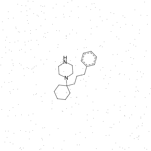 c1ccc(CCCC2(N3CCNCC3)CCCCC2)cc1